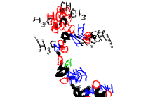 COC(=O)[C@H]1O[C@@H](Oc2ccc(COC(=O)N(C)CCOCCc3ccc(NC(=O)NCc4ccc5c(c4)CN(C4CCC(=O)NC4=O)C5=O)cc3Cl)cc2C(=O)NCCNC(=O)OC(C)(C)C)[C@H](OC(C)=O)[C@@H](OC(C)=O)[C@@H]1O